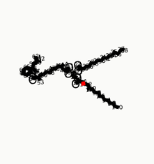 CCCCCCCCCCCCCCCC(=O)OCC(COC(=O)CCCCCCCCCCCCCCC)OC(=O)CC(C)CCCCCCCC(C)C(=O)n1cc(CCN(C)C)c2ccccc21